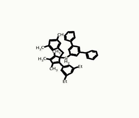 CCc1cc(CC)cc(C2=C(C)C(C)=C(C)C2(Cc2cc(C)cc(C)c2)[SiH2]c2cc(-c3ccccc3)cc(-c3ccccc3)c2)c1